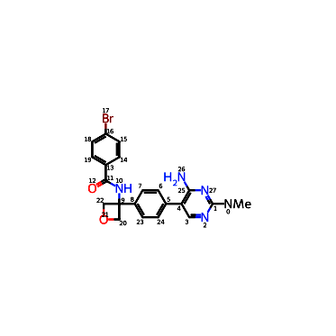 CNc1ncc(-c2ccc(C3(NC(=O)c4ccc(Br)cc4)COC3)cc2)c(N)n1